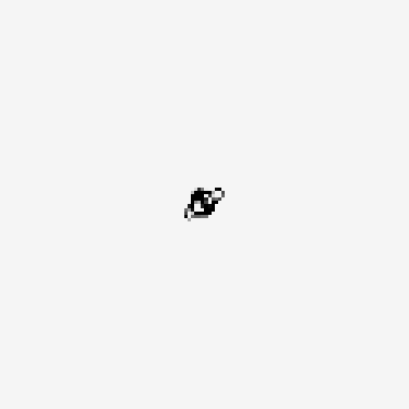 O1C23OC12O3